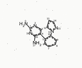 Nc1ncc(-c2ccccc2-n2cccn2)c(N)n1